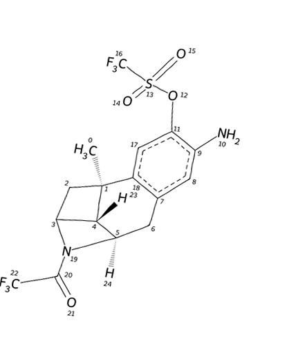 C[C@@]12CC3[C@H]1[C@@H](Cc1cc(N)c(OS(=O)(=O)C(F)(F)F)cc12)N3C(=O)C(F)(F)F